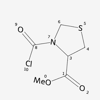 COC(=O)C1CSCN1C(=O)Cl